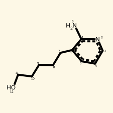 Nc1ncccc1CCCCCO